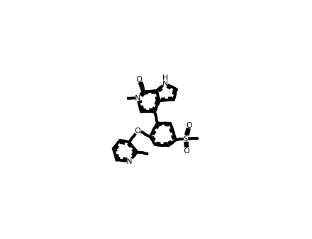 Cc1ncccc1Oc1ccc(S(C)(=O)=O)cc1-c1cn(C)c(=O)c2[nH]ccc12